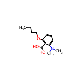 CCCCOc1cccc(N(C)C)c1B(O)O